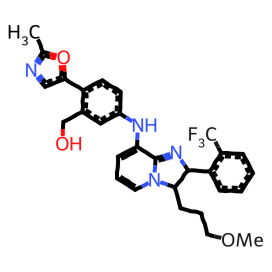 COCCCC1C(c2ccccc2C(F)(F)F)N=C2C(Nc3ccc(-c4cnc(C)o4)c(CO)c3)=CC=CN21